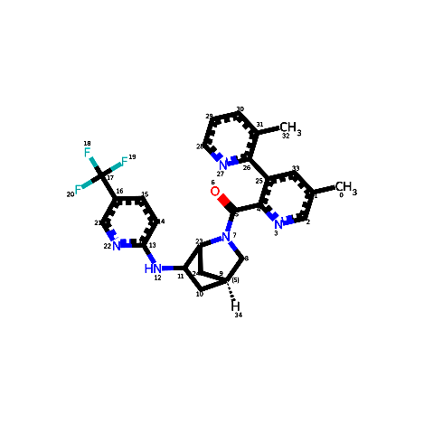 Cc1cnc(C(=O)N2C[C@H]3CC(Nc4ccc(C(F)(F)F)cn4)C2C3)c(-c2ncccc2C)c1